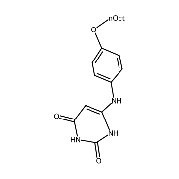 CCCCCCCCOc1ccc(Nc2cc(=O)[nH]c(=O)[nH]2)cc1